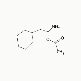 CC(=O)OC(N)CC1CCCCC1